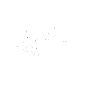 C=C/C=C(/OCC(NC(=O)c1ccc(OCCCO)c(OC)c1)C(C)C)c1c(C)nc(C)c(C(=O)O)c1N